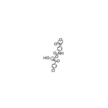 O=C(Nc1ccc(N2CCOCC2=O)cc1)O[C@@H]1C[C@@H](O)CN1C(=O)c1ccc(Cl)cc1